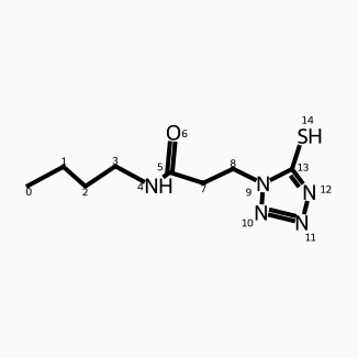 CCCCNC(=O)CCn1nnnc1S